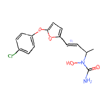 CC(/C=C/c1ccc(Oc2ccc(Cl)cc2)o1)N(O)C(N)=O